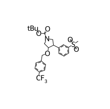 CC(C)(C)OC(=O)N1CC(OCc2ccc(C(F)(F)F)cc2)C(c2cccc(S(C)(=O)=O)c2)C1